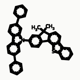 CC1(C)c2cc(-n3c4cc(-c5ccccc5)ccc4c4ccc(-c5ccccc5)cc43)ccc2-c2c1ccc1c2sc2ccccc21